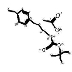 CC(=O)O.Cc1ccc(CCNC(=O)OC(C)(C)C)cc1